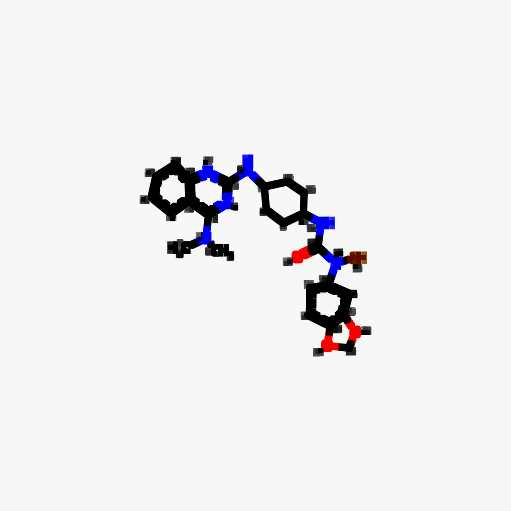 CN(C)c1nc(NC2CCC(NC(=O)N(S)c3ccc4c(c3)OCO4)CC2)nc2ccccc12